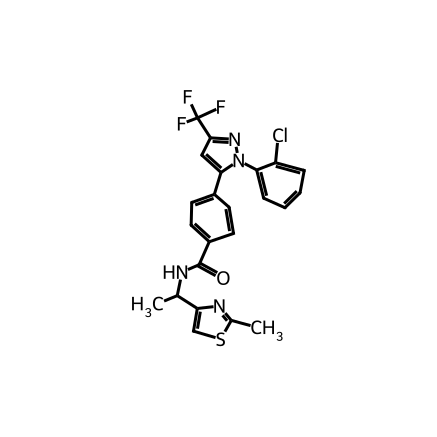 Cc1nc(C(C)NC(=O)c2ccc(-c3cc(C(F)(F)F)nn3-c3ccccc3Cl)cc2)cs1